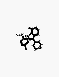 Cc1ccc(S(=O)(=O)O)cc1.Cc1cccc2c(C3CCNCC3)c[nH]c12